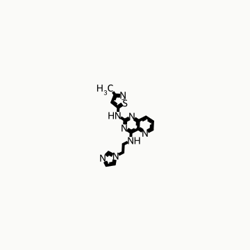 Cc1cc(Nc2nc(NCCn3ccnc3)c3ncccc3n2)sn1